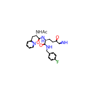 CC(=O)N[C@@H](Cc1ccccn1)C(=O)N[C@@H](CCC(=O)C=N)C(=O)NCc1ccc(F)cc1